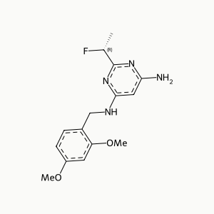 COc1ccc(CNc2cc(N)nc([C@@H](C)F)n2)c(OC)c1